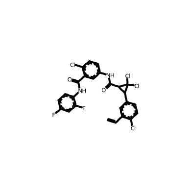 C=Cc1cc(C2C(C(=O)Nc3ccc(Cl)c(C(=O)Nc4ccc(F)cc4F)c3)C2(Cl)Cl)ccc1Cl